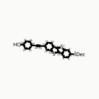 CCCCCCCCCCc1ccc2c(c1)sc1c3ccc(C#Cc4ccc(O)cc4)cc3sc21